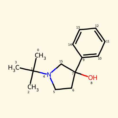 CC(C)(C)N1CCC(O)(c2ccccc2)C1